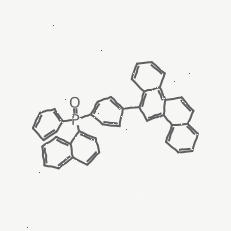 O=P(c1ccccc1)(c1ccc(-c2cc3c4ccccc4ccc3c3ccccc23)cc1)c1cccc2ccccc12